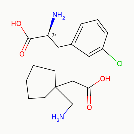 NCC1(CC(=O)O)CCCCC1.N[C@@H](Cc1cccc(Cl)c1)C(=O)O